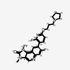 CC(C)n1c(=O)n(C)c2cnc3cc(F)c(-c4ccc(OCCCN5CCCC5)nc4F)cc3c21